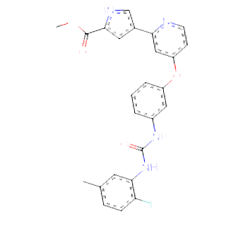 COC(=O)c1cc(-c2cc(Oc3cccc(NC(=O)Nc4cc(C)ccc4F)c3)ccn2)c[nH]1